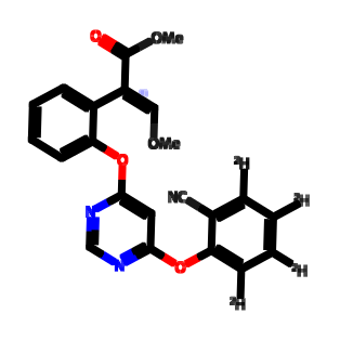 [2H]c1c([2H])c([2H])c(Oc2cc(Oc3ccccc3/C(=C\OC)C(=O)OC)ncn2)c(C#N)c1[2H]